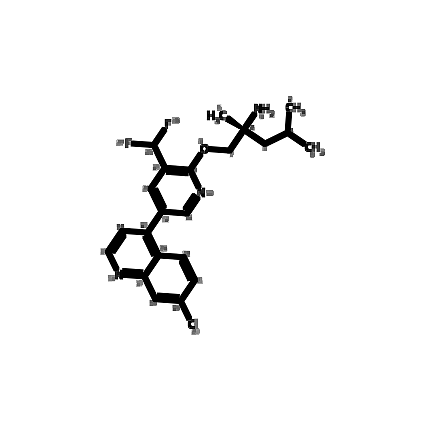 CC(C)C[C@@](C)(N)COc1ncc(-c2ccnc3cc(Cl)ccc23)cc1C(F)F